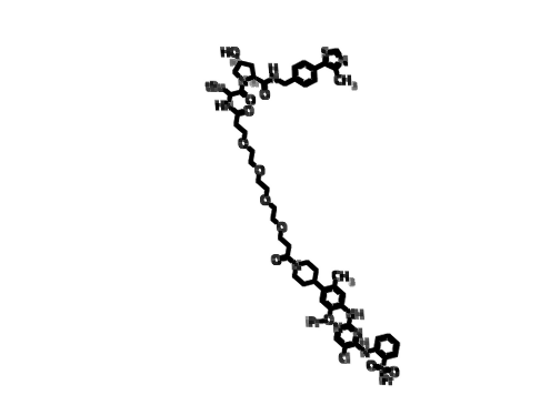 Cc1cc(Nc2ncc(Cl)c(Nc3ccccc3S(=O)(=O)C(C)C)n2)c(OC(C)C)cc1C1CCN(C(=O)CCOCCOCCOCCOCCC(=O)NC(C(=O)N2C[C@H](O)C[C@H]2C(=O)NCc2ccc(-c3scnc3C)cc2)C(C)(C)C)CC1